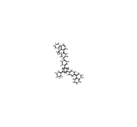 CC1(c2ccccc2)Oc2cc(-c3ccc(-c4nc(-c5ccccc5)nc(-c5ccc(-c6cccc7ccccc67)cc5)n4)cc3)ccc2-c2ccccc21